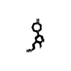 CCC/C=C/c1cc(N2CCCNCC2)cnc1F